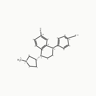 CN1CC[C@@H](N2CCN(c3ccc(F)cc3)c3cc(F)ccc32)C1